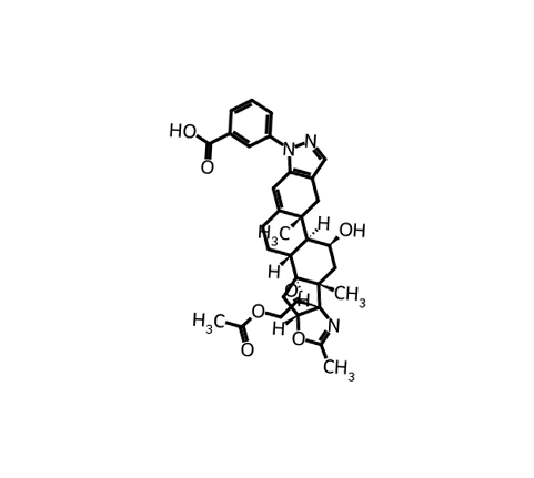 CC(=O)OCC(=O)[C@@]12N=C(C)O[C@@H]1C[C@H]1[C@@H]3CCC4=Cc5c(cnn5-c5cccc(C(=O)O)c5)C[C@]4(C)[C@H]3[C@@H](O)C[C@@]12C